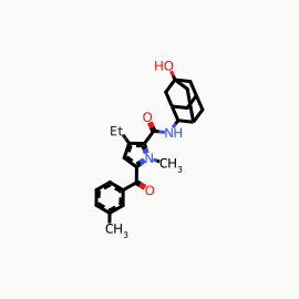 CCc1cc(C(=O)c2cccc(C)c2)n(C)c1C(=O)NC1C2CC3CC1CC(O)(C3)C2